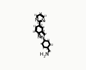 NCC1CCC(n2cc3cc(-c4ncccn4)ccc3n2)CC1